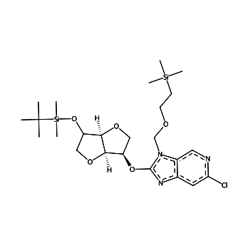 CC(C)(C)[Si](C)(C)OC1CO[C@H]2[C@@H]1OC[C@H]2Oc1nc2cc(Cl)ncc2n1COCC[Si](C)(C)C